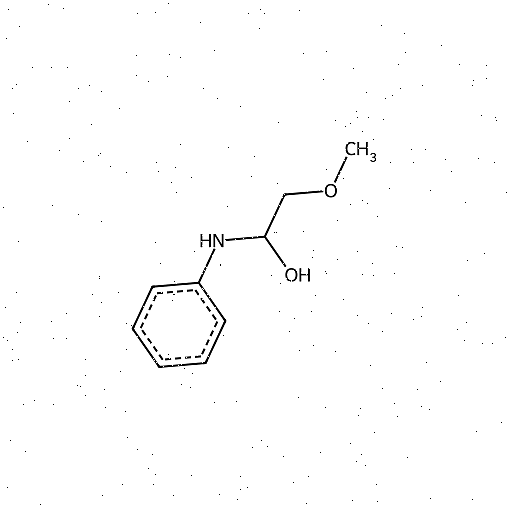 COCC(O)Nc1ccccc1